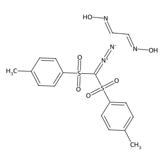 Cc1ccc(S(=O)(=O)C(=[N+]=[N-])S(=O)(=O)c2ccc(C)cc2)cc1.O/N=C/C=N/O